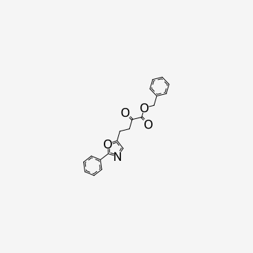 O=C(CCc1cnc(-c2ccccc2)o1)C(=O)OCc1ccccc1